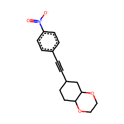 O=[N+]([O-])c1ccc(C#CC2CCC3OCCOC3C2)cc1